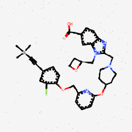 C[Si](C)(C)C#Cc1ccc(OCc2cccc(OC3CCN(Cc4nc5ccc(C(=O)O)cc5n4C[C@@H]4CCO4)CC3)n2)c(F)c1